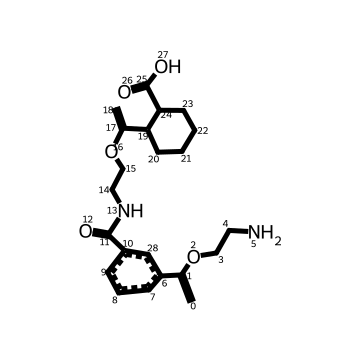 C=C(OCCN)c1cccc(C(=O)NCCOC(=C)C2CCCCC2C(=O)O)c1